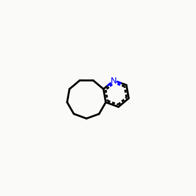 c1cnc2c(c1)CCCCCCC2